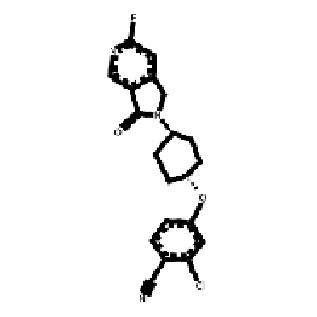 N#Cc1ccc(O[C@H]2CC[C@H](N3Cc4cc(F)ncc4C3=O)CC2)cc1Cl